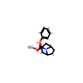 CC(C)(C)OC(=O)N1C2CCC1CC(C)(Oc1ccccc1)C2